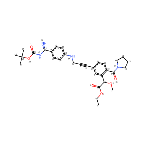 CCOC(=O)C(OC)c1cc(C#CCNc2ccc(C(=N)NC(=O)OC(C)(C)C)cc2)ccc1C(=O)N1CCCC1